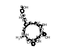 Cc1sc2nc1C(=O)N[C@@H]([C@H](O)c1ccccc1)c1nc(cs1)C(=O)N[C@@H](Cc1ccc(O)cc1)C(=O)N1C[C@H](O)[C@H](C)[C@H]1c1nc(cs1)-c1nc(cs1)-c1nc(-c3nc(NC(=O)O[C@H]4CC[C@H](C(=O)O)CC4)cs3)ccc1-c1nc(cs1)C(=O)N[C@H]2CC(N)=O